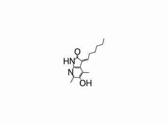 CCCCC/C=C1\C(=O)Nc2nc(C)c(O)c(C)c21